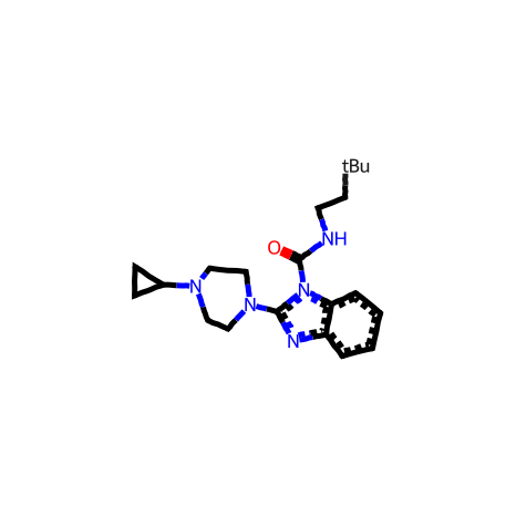 CC(C)(C)CCNC(=O)n1c(N2CCN(C3CC3)CC2)nc2ccccc21